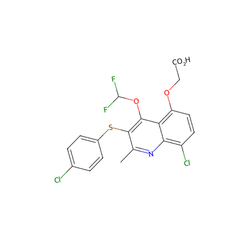 Cc1nc2c(Cl)ccc(OCC(=O)O)c2c(OC(F)F)c1Sc1ccc(Cl)cc1